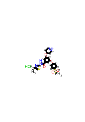 Cc1csc(NC(=O)c2cc(Oc3ccc(S(C)(=O)=O)cc3)cc(OC3CCNCC3)c2)n1.Cl